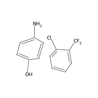 FC(F)(F)c1ccccc1Cl.Nc1ccc(O)cc1